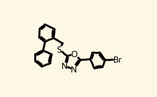 Brc1ccc(-c2nnc(SCc3ccccc3-c3ccccc3)o2)cc1